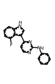 Fc1cccc2[nH]cc(-c3ccnc(Nc4ccccc4)n3)c12